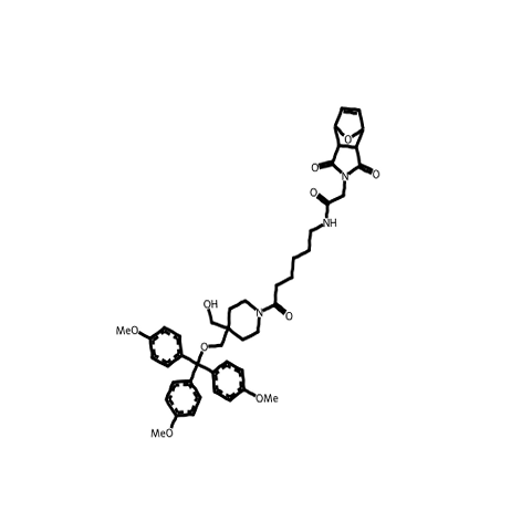 COc1ccc(C(OCC2(CO)CCN(C(=O)CCCCCNC(=O)CN3C(=O)C4C5C=CC(O5)C4C3=O)CC2)(c2ccc(OC)cc2)c2ccc(OC)cc2)cc1